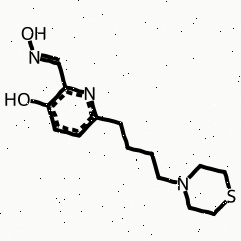 O/N=C/c1nc(CCCCN2CCSCC2)ccc1O